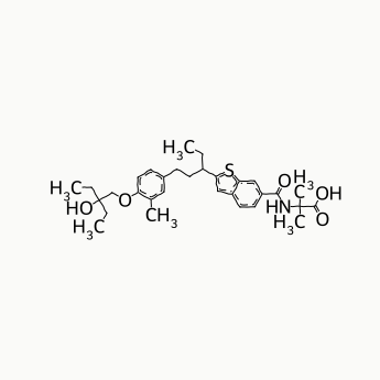 CCC(CCc1ccc(OCC(O)(CC)CC)c(C)c1)c1cc2ccc(C(=O)NC(C)(C)C(=O)O)cc2s1